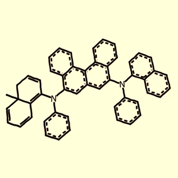 CC12C=CC=CC1=C(N(c1ccccc1)c1cc3cc(N(c4ccccc4)c4cccc5ccccc45)c4ccccc4c3c3ccccc13)C=CC2